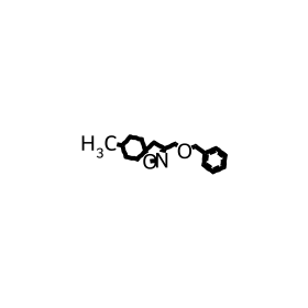 CC1CCC2(CC1)CC(COCc1ccccc1)=NO2